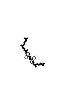 CC(C)=CCCC(C)CCC/C(C)=C/OC(=O)CCC(=O)OCCC(C)CCC=C(C)C